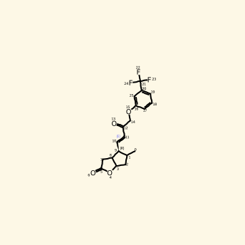 CC1CC2OC(=O)CC2[C@H]1/C=C/C(=O)COc1cccc(C(F)(F)F)c1